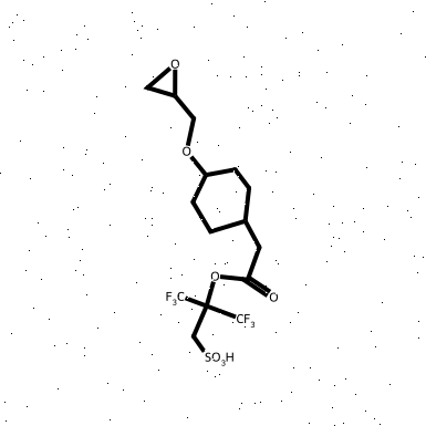 O=C(CC1CCC(OCC2CO2)CC1)OC(CS(=O)(=O)O)(C(F)(F)F)C(F)(F)F